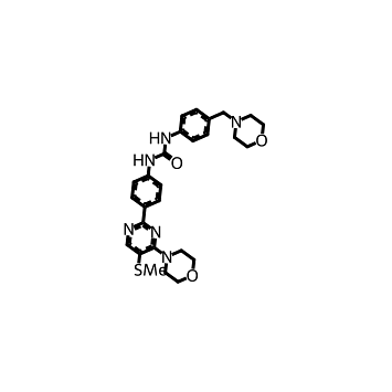 CSc1cnc(-c2ccc(NC(=O)Nc3ccc(CN4CCOCC4)cc3)cc2)nc1N1CCOCC1